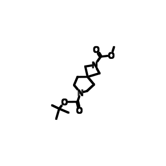 COC(=O)N1CC2(CCN(C(=O)OC(C)(C)C)CC2)C1